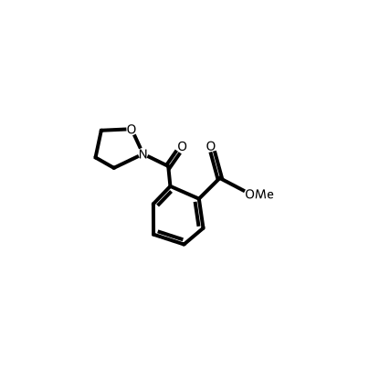 COC(=O)c1ccccc1C(=O)N1CCCO1